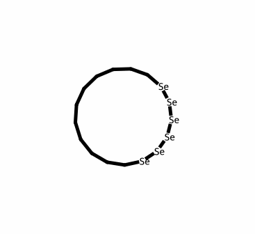 C1CCCCC[Se][Se][Se][Se][Se][Se]CCCCC1